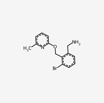 Cc1cccc(OCc2c(Br)cccc2CN)n1